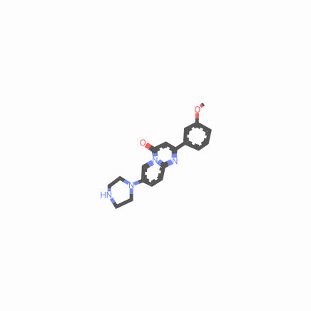 COc1cccc(-c2cc(=O)n3cc(N4CCNCC4)ccc3n2)c1